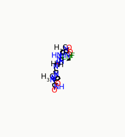 Cn1nc(C2CCC(=O)NC2=O)c2cccc(N3CCC(CN4C[C@@H]5C[C@H]4CN5c4ncc(Cl)c(Nc5ccc6c(c5)c5c(c(=O)n6C)OCC(F)(F)[C@H](C6CC6)N5)n4)CC3)c21